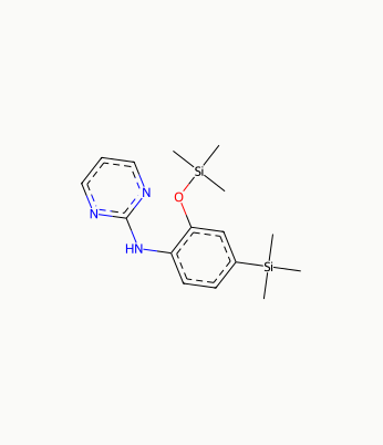 C[Si](C)(C)Oc1cc([Si](C)(C)C)ccc1Nc1ncccn1